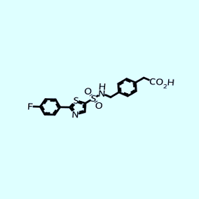 O=C(O)Cc1ccc(CNS(=O)(=O)c2cnc(-c3ccc(F)cc3)s2)cc1